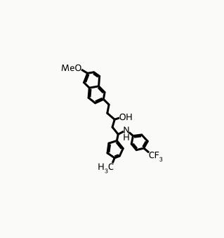 COc1ccc2cc(CCC(O)CC(Nc3ccc(C(F)(F)F)cc3)c3ccc(C)cc3)ccc2c1